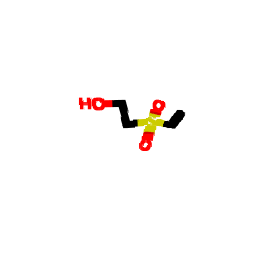 C=CS(=O)(=O)CCO